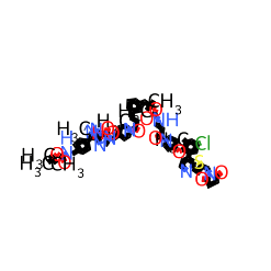 Cc1cc(Cl)cc(-c2ccnc3cc(CN4C(=O)CCC4=O)sc23)c1OC1CCN(C(=O)CCNC(=O)OC(C)(C)Cc2cccc([C@H](C)CC(=O)N3CCC(O)(Cn4cnc5c(-c6ccc(CNC(=O)OC(C)(C)C)cc6)n(C)nc5c4=O)CC3)c2)CC1